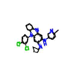 Cc1ccc(Nc2cc3nc4ccccc4n(-c4ccc(Cl)c(Cl)c4)c-3c/c2=N\C2CCC2)cn1